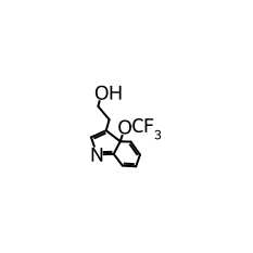 OCCC1=CN=C2C=CC=CC12OC(F)(F)F